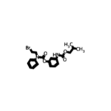 CC(C)COC(=O)Nc1cccc(OC(=O)N(CCBr)c2ccccc2)c1